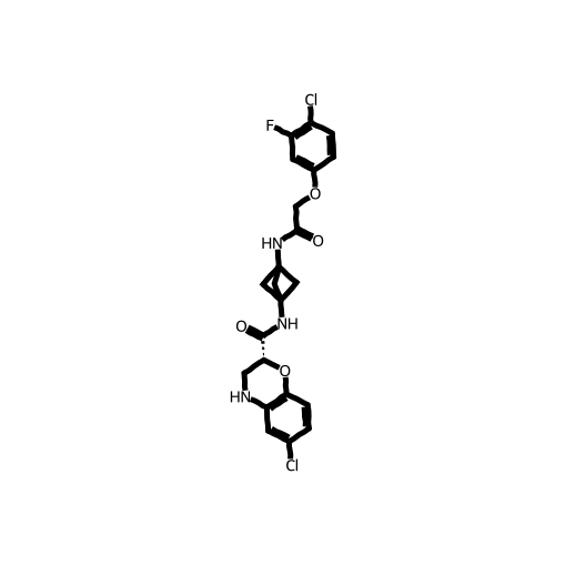 O=C(COc1ccc(Cl)c(F)c1)NC12CC(NC(=O)[C@H]3CNc4cc(Cl)ccc4O3)(C1)C2